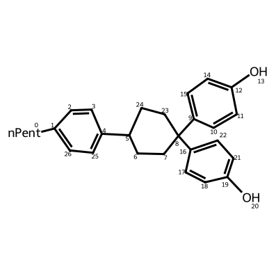 CCCCCc1ccc(C2CCC(c3ccc(O)cc3)(c3ccc(O)cc3)CC2)cc1